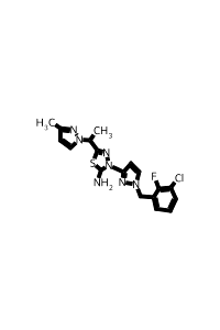 Cc1ccn(C(C)C2=NN(c3ccn(Cc4cccc(Cl)c4F)n3)C(N)S2)n1